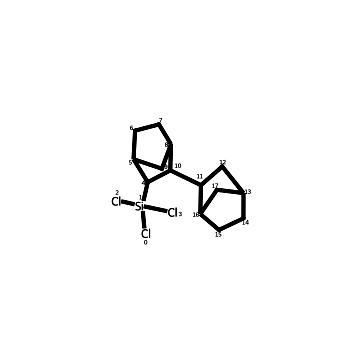 Cl[Si](Cl)(Cl)C1C2CCC(C2)C1C1CC2CCC1C2